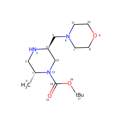 C[C@@H]1CN[C@@H](CN2CCOCC2)CN1C(=O)OC(C)(C)C